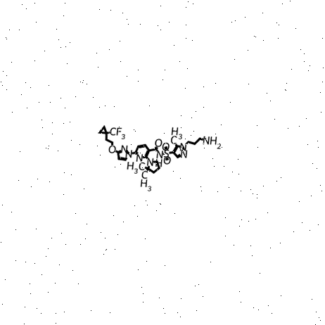 Cc1c(S(=O)(=O)NC(=O)c2ccc(-n3ccc(OCCC4(C(F)(F)F)CC4)n3)nc2N2CCCC2(C)C)cnn1CCCN